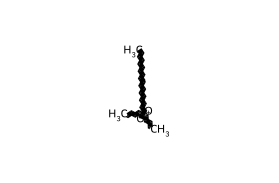 CCCCCCCCC=CCCCCCCCC(=O)[N+]([O-])(CCCCC)CCCCC